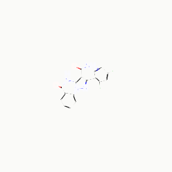 NC(=O)c1c(-c2ccc(Cl)cc2Cl)nn2c1[nH]c(=O)c1ccccc12